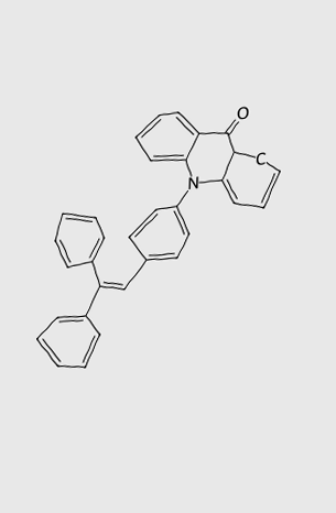 O=C1c2ccccc2N(c2ccc(C=C(c3ccccc3)c3ccccc3)cc2)C2=CC=CCC12